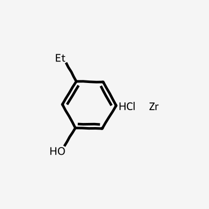 CCc1cccc(O)c1.Cl.[Zr]